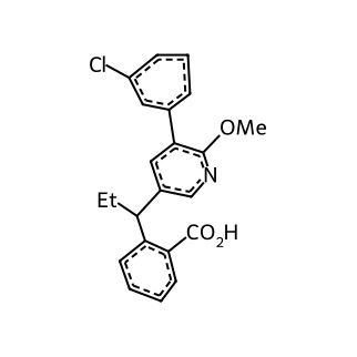 CCC(c1cnc(OC)c(-c2cccc(Cl)c2)c1)c1ccccc1C(=O)O